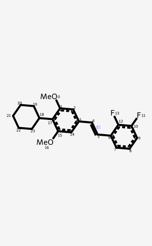 COc1cc(/C=C/c2cccc(F)c2F)cc(OC)c1C1CCCCC1